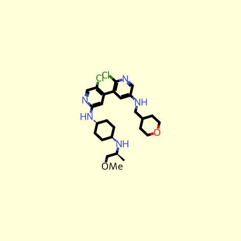 COC[C@H](C)N[C@H]1CC[C@H](Nc2cc(-c3cc(NCC4CCOCC4)cnc3Cl)c(Cl)cn2)CC1